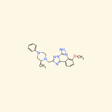 COc1cccc2c1nc(N)n1nc(CN3CCN(c4ccccc4)C[C@@H]3C)nc21